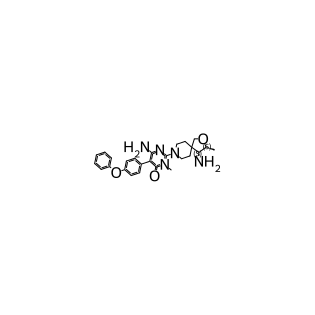 C[C@@H]1OCC2(CCN(c3nc(N)c(-c4ccc(Oc5ccccc5)cc4)c(=O)n3C)CC2)[C@@H]1N